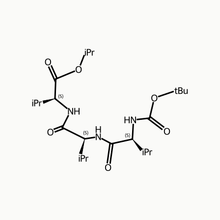 CC(C)OC(=O)[C@@H](NC(=O)[C@@H](NC(=O)[C@@H](NC(=O)OC(C)(C)C)C(C)C)C(C)C)C(C)C